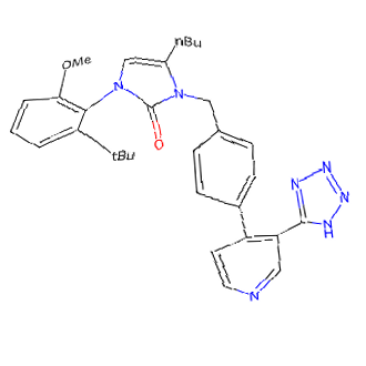 CCCCc1cn(-c2c(OC)cccc2C(C)(C)C)c(=O)n1Cc1ccc(-c2ccncc2-c2nnn[nH]2)cc1